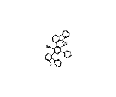 N#Cc1c(-c2ccccc2)cc(-c2cccc3sc4ccccc4c23)c(C#N)c1-c1cccc2c1sc1ccccc12